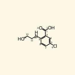 O=C(O)c1cc(Cl)ccc1NCCO